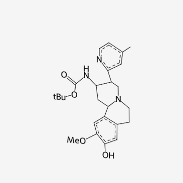 COc1cc2c(cc1O)CCN1CC(c3cc(C)ccn3)C(NC(=O)OC(C)(C)C)CC21